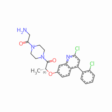 C[C@@H](Oc1ccc2c(-c3ccccc3Cl)cc(Cl)nc2c1)C(=O)N1CCN(C(=O)CN)CC1